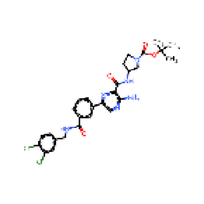 CC(C)(C)OC(=O)N1CC[C@H](NC(=O)c2nc(-c3cccc(C(=O)NCc4ccc(Cl)c(Cl)c4)c3)cnc2N)C1